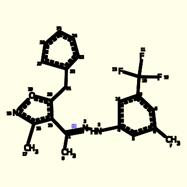 C/C(=N\Nc1cc(C)cc(C(F)(F)F)c1)c1c(C)noc1Cc1ccccc1